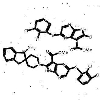 COC(=O)c1c(Cl)[nH]c2ncc(Sc3cccc(Cl)c3Cl)nc12.COC(=O)c1c(N2CCC3(CC2)Cc2ccccc2[C@H]3N)[nH]c2ncc(Sc3cccc(Cl)c3Cl)nc12